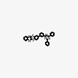 c1ccc(-c2nc(-c3ccccc3)nc(-c3cccc(-c4ccc5c(c4)Sc4nc6ccccc6nc4S5)c3)n2)cc1